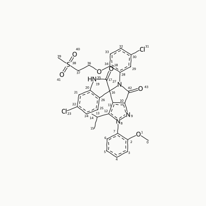 COc1ccccc1-n1nc2c(c1C(C)C)C1(C(=O)Nc3cc(Cl)ccc31)N(c1cc(Cl)ccc1OCCS(C)(=O)=O)C2=O